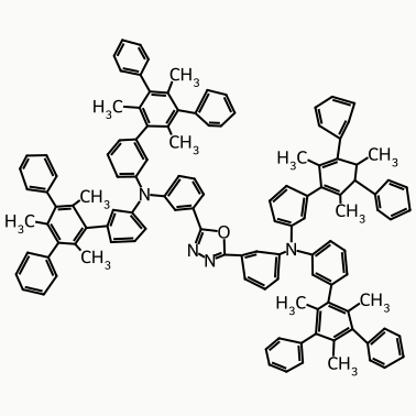 CC1=C(c2ccccc2)C(C)C(c2ccccc2)C(C)=C1c1cccc(N(c2cccc(-c3nnc(-c4cccc(N(c5cccc(-c6c(C)c(-c7ccccc7)c(C)c(-c7ccccc7)c6C)c5)c5cccc(-c6c(C)c(-c7ccccc7)c(C)c(-c7ccccc7)c6C)c5)c4)o3)c2)c2cccc(-c3c(C)c(-c4ccccc4)c(C)c(-c4ccccc4)c3C)c2)c1